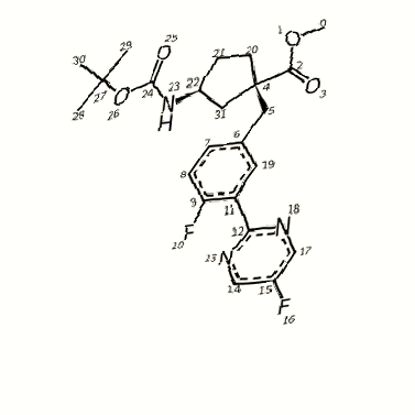 COC(=O)[C@@]1(Cc2ccc(F)c(-c3ncc(F)cn3)c2)CC[C@H](NC(=O)OC(C)(C)C)C1